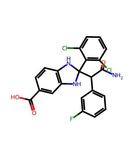 NC(=O)C(c1cccc(F)c1)C1(c2c(Cl)cccc2Cl)Nc2ccc(C(=O)O)cc2N1